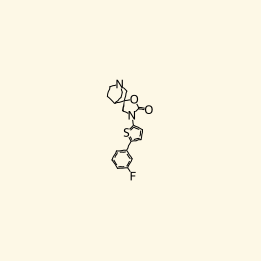 O=C1O[C@]2(CN3CCC2CC3)CN1c1ccc(-c2cccc(F)c2)s1